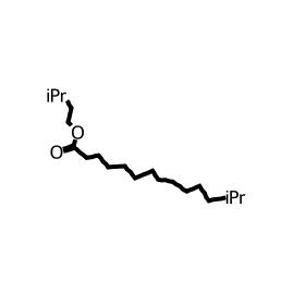 CC(C)CCCCCCCCCCCC(=O)OCCC(C)C